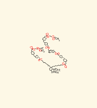 C=CC(=O)OCCOC(=O)CC1CCC(CC2CCC(CC(=O)OCCCCCCCCC3CCC(CCCCCC)C(CCCCCCCC)C3CCCCCCCCOC(=O)CC3CCC(CC4CCC(CC(=O)OCC5CC6C7CC(COC(=O)CC8CCC(CC9CCC(CC(=O)OCCOC(=O)C=C)CC9)CC8)C(C7)C6C5)CC4)CC3)CC2)CC1